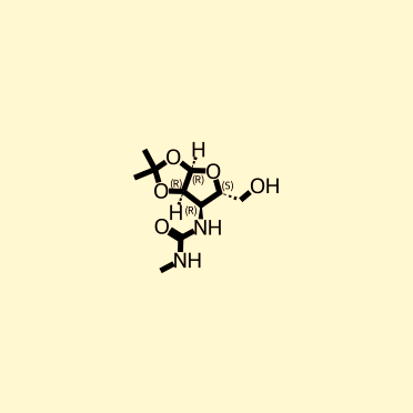 CNC(=O)N[C@H]1[C@H]2OC(C)(C)O[C@H]2O[C@@H]1CO